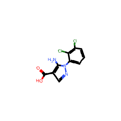 Nc1c(C(=O)O)cnn1-c1cccc(Cl)c1Cl